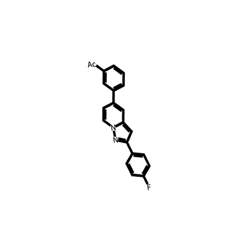 CC(=O)c1cccc(-c2ccn3nc(-c4ccc(F)cc4)cc3c2)c1